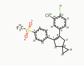 O=S(=O)(c1ccc(C2=C(c3ccc(F)c(Cl)c3)CC3(CC3)C2)cc1)C(F)(F)F